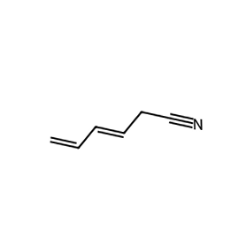 C=C/C=C/CC#N